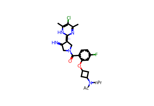 CCCN(C(C)=O)C1CC(Oc2cc(F)ccc2C(=O)N2CC(=N)/C(=C3/N=C(C)C(Cl)=C(C)N3)C2)C1